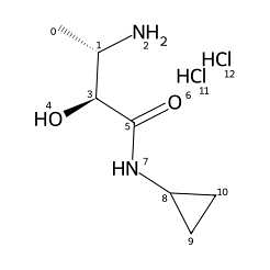 C[C@H](N)[C@H](O)C(=O)NC1CC1.Cl.Cl